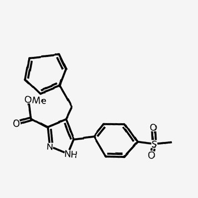 COC(=O)c1n[nH]c(-c2ccc(S(C)(=O)=O)cc2)c1Cc1ccccc1